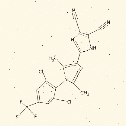 Cc1cc(-c2nc(C#N)c(C#N)[nH]2)c(C)n1-c1c(Cl)cc(C(F)(F)F)cc1Cl